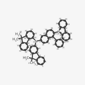 CC1(C)c2ccccc2-c2cc(N(c3ccc4c(-c5ccccc5)c(-n5c6ccccc6c6ccccc65)ccc4c3)c3cccc4c3-c3ccccc3C4(C)C)ccc21